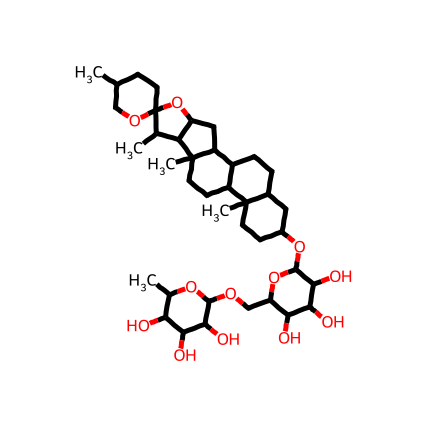 CC1CCC2(OC1)OC1CC3C4CCC5CC(OC6OC(COC7OC(C)C(O)C(O)C7O)C(O)C(O)C6O)CCC5(C)C4CCC3(C)C1C2C